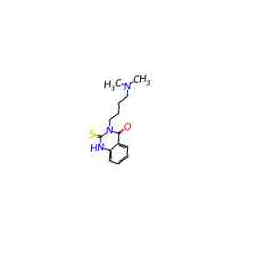 CN(C)CCCCn1c(=S)[nH]c2ccccc2c1=O